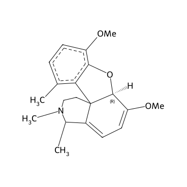 COC1=CC=C2C(C)N(C)CCC23c2c(C)ccc(OC)c2O[C@@H]13